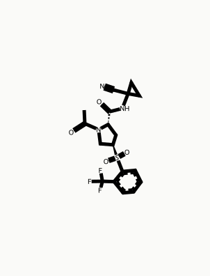 CC(=O)N1C[C@H](S(=O)(=O)c2ccccc2C(F)(F)F)C[C@H]1C(=O)NC1(C#N)CC1